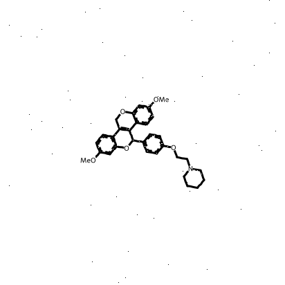 COc1ccc2c(c1)OC(c1ccc(OCCN3CCCCC3)cc1)C1=C2COc2cc(OC)ccc21